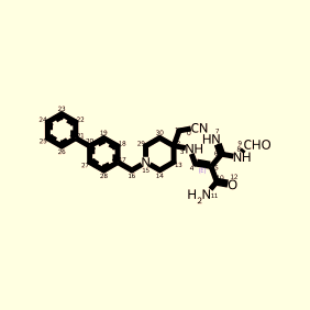 N#CCC1(N/C=C(\C(=N)NC=O)C(N)=O)CCN(Cc2ccc(-c3ccccc3)cc2)CC1